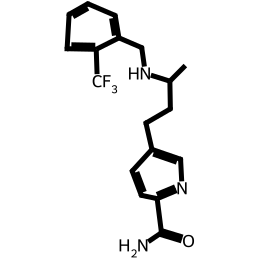 CC(CCc1ccc(C(N)=O)nc1)NCc1ccccc1C(F)(F)F